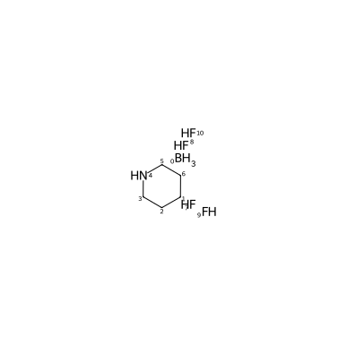 B.C1CCNCC1.F.F.F.F